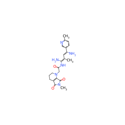 CC(/C=C(\N)c1ccc(C)nc1)=C(/N)NC(=O)CN1CCCC2=C1C(=O)N(C)C2=O